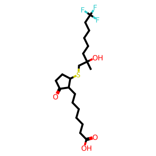 CC(O)(CCCCCC(F)(F)F)CSC1CCC(=O)C1CCCCCCC(=O)O